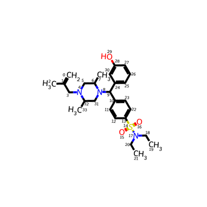 C=C(C)CN1CC(C)N(C(c2ccc(S(=O)(=O)N(CC)CC)cc2)c2cccc(O)c2)CC1C